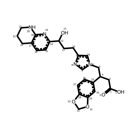 O=C(O)CC(Cn1cnc(CCC(O)c2ccc3c(n2)NCCC3)c1)c1ccc2c(c1)OCO2